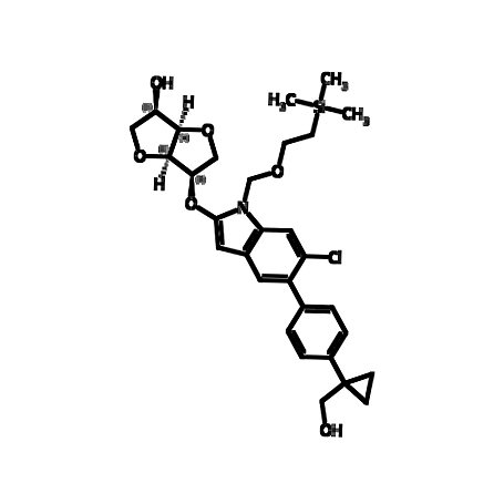 C[Si](C)(C)CCOCn1c(O[C@@H]2CO[C@H]3[C@@H]2OC[C@H]3O)cc2cc(-c3ccc(C4(CO)CC4)cc3)c(Cl)cc21